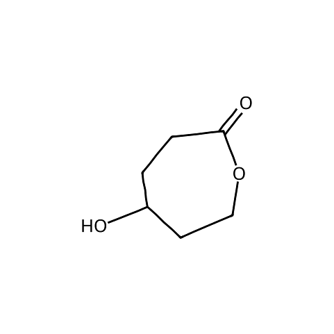 O=C1CCC(O)CCO1